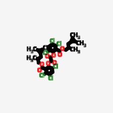 CC(COC(=O)c1c(Cl)c(Cl)cc(Cl)c1OC(=O)C(=O)Oc1c(Cl)cc(Cl)c(Cl)c1C(=O)OCC(C)CC1C(C)C1C)CC1C(C)C1C